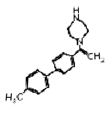 C=C(c1ccc(-c2ccc(C)cc2)cc1)N1CCNCC1